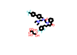 CCN(CC)CCN(Cc1ccc(-c2ccc(C(F)(F)F)cc2)cc1)C(=O)Cn1c(CCc2ccc(F)c(F)c2F)cc(=O)c2ccccc21.O=C(O)C(O)C(O)C(=O)O